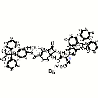 CO/N=C(\C(=O)N[C@@H]1C(=O)N2C(C(=O)O)=C(CSc3cc[n+](C(C(=O)OC)(c4ccccc4)c4ccccc4)cc3)CS[C@H]12)c1csc(NC(c2ccccc2)(c2ccccc2)c2ccccc2)n1.[Br-]